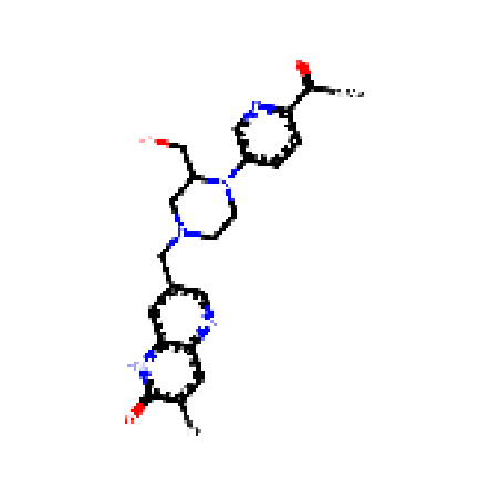 CCc1cc2ncc(CN3CCN(c4ccc(C(=O)NC)nc4)C(CO)C3)cc2[nH]c1=O